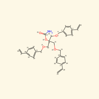 C=Cc1ccc(COCC(COCc2ccc(C=C)cc2)(COCc2ccc(C=C)cc2)OC(N)=O)cc1